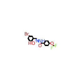 O=C(N/N=C/c1cc(Br)ccc1O)c1ccc(OC(F)F)cc1